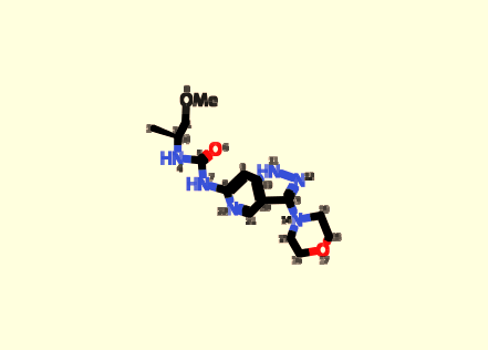 COC[C@H](C)NC(=O)Nc1cc2[nH]nc(N3CCOCC3)c2cn1